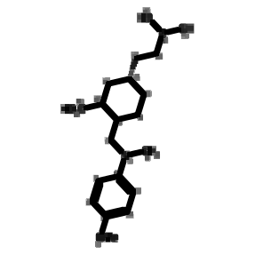 COc1ccc(N(C)CC2CC[C@@H](CCB(O)O)CC2C(=O)O)cc1